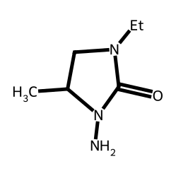 CCN1CC(C)N(N)C1=O